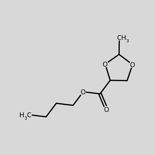 CCCCOC(=O)C1COC(C)O1